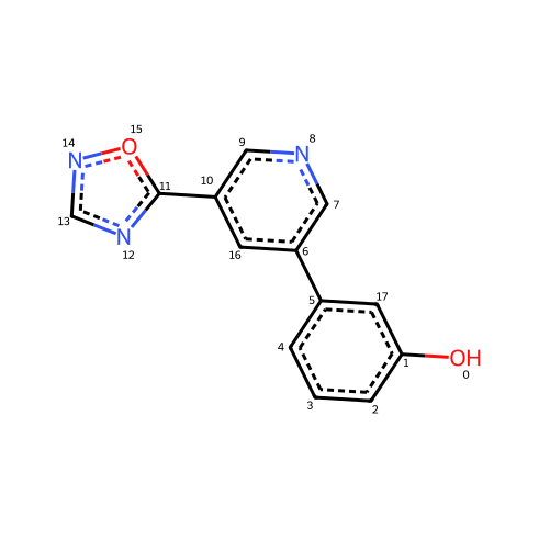 Oc1cccc(-c2cncc(-c3ncno3)c2)c1